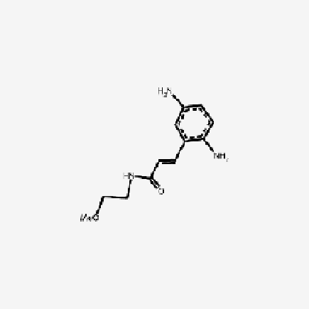 COCCNC(=O)C=Cc1cc(N)ccc1N